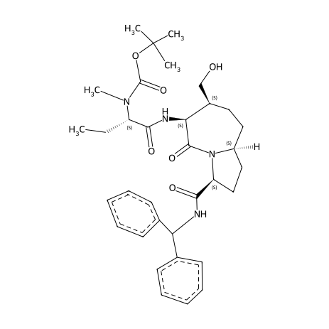 CC[C@@H](C(=O)N[C@@H]1C(=O)N2[C@@H](CC[C@@H]1CO)CC[C@H]2C(=O)NC(c1ccccc1)c1ccccc1)N(C)C(=O)OC(C)(C)C